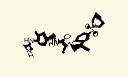 Cc1cc(CNC(=O)C(C)n2cc(C)c3cc(S(=O)(=O)N4CCCCC4)ccc32)ccc1NC1CNC1